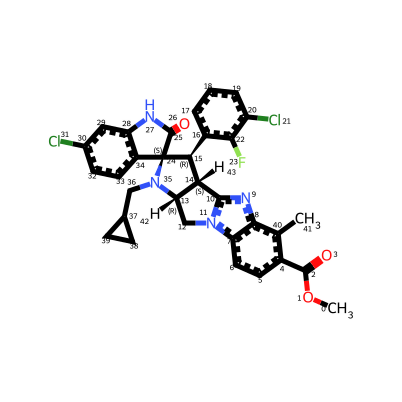 COC(=O)c1ccc2c(nc3n2C[C@H]2[C@@H]3[C@H](c3cccc(Cl)c3F)[C@]3(C(=O)Nc4cc(Cl)ccc43)N2CC2CC2)c1C